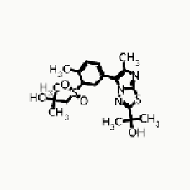 CC1=CC=C(c2c(C)nc3sc(C(C)(C)O)nn23)CC1S(=O)(=O)CC(C)(C)O